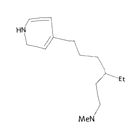 CCC(CCCC1=CCNC=C1)CCNC